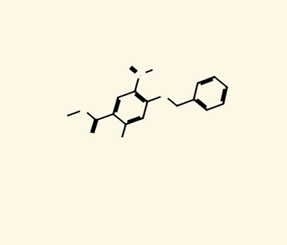 COC(=O)c1cc([N+](=O)[O-])c(OCc2ccccc2)cc1F